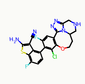 N#Cc1c(N)sc2c(F)ccc(-c3c(F)cc4c(c3Cl)OCCC3CNCc5nnc-4n53)c12